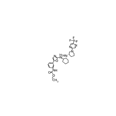 CCOC(=O)Nc1cccc(-c2cnc(N[C@@H]3CCCC[C@H]3N[C@H]3CCCN(c4cnc(C(F)(F)F)cn4)C3)o2)c1